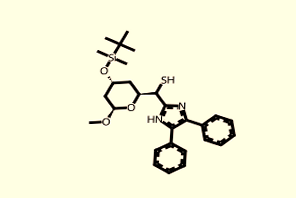 CO[C@H]1C[C@H](O[Si](C)(C)C(C)(C)C)C[C@@H](C(S)c2nc(-c3ccccc3)c(-c3ccccc3)[nH]2)O1